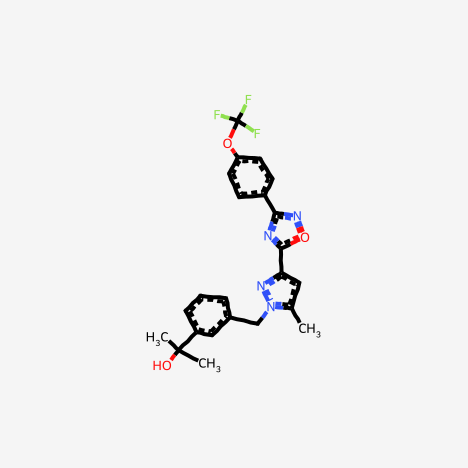 Cc1cc(-c2nc(-c3ccc(OC(F)(F)F)cc3)no2)nn1Cc1cccc(C(C)(C)O)c1